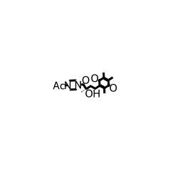 CC(=O)N1CCN(C(=O)[C@](C)(O)CCC2=C(C)C(=O)C(C)=C(C)C2=O)CC1